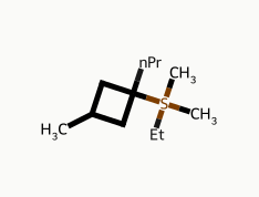 CCCC1(S(C)(C)CC)CC(C)C1